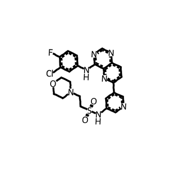 O=S(=O)(CCN1CCOCC1)Nc1cncc(-c2ccc3ncnc(Nc4ccc(F)c(Cl)c4)c3n2)c1